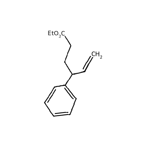 C=CC(CCC(=O)OCC)c1ccccc1